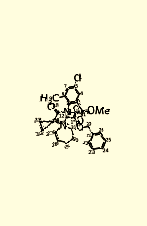 COC(=O)c1cc(Cl)cc(C)c1NC(=O)C1([N+]2(CC(=O)OCc3ccccc3)CCCCC2)CC1